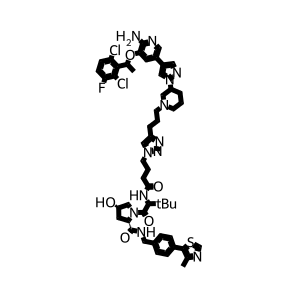 Cc1ncsc1-c1ccc(CNC(=O)[C@@H]2C[C@@H](O)CN2C(=O)C(NC(=O)CCCn2cc(CCCN3CCCC(n4cc(-c5cnc(N)c(OC(C)c6c(Cl)ccc(F)c6Cl)c5)cn4)C3)nn2)C(C)(C)C)cc1